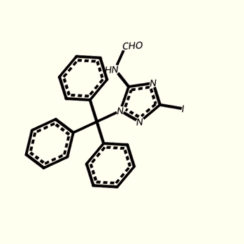 O=CNc1nc(I)nn1C(c1ccccc1)(c1ccccc1)c1ccccc1